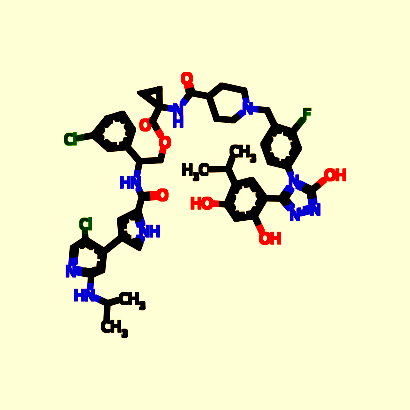 CC(C)Nc1cc(-c2c[nH]c(C(=O)NC(COC(=O)C3(NC(=O)C4CCN(Cc5ccc(-n6c(O)nnc6-c6cc(C(C)C)c(O)cc6O)cc5F)CC4)CC3)c3cccc(Cl)c3)c2)c(Cl)cn1